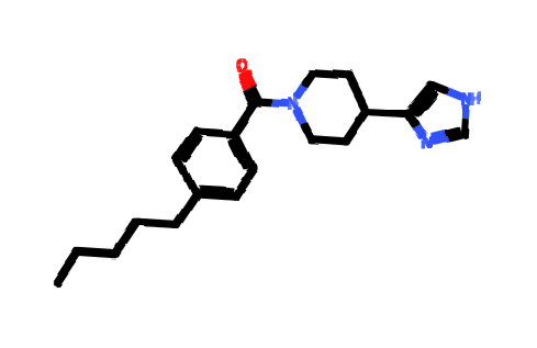 CCCCCc1ccc(C(=O)N2CCC(c3c[nH]cn3)CC2)cc1